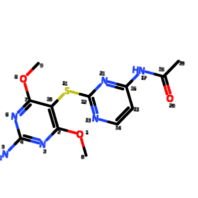 COc1nc(N)nc(OC)c1Sc1nccc(NC(C)=O)n1